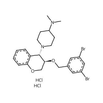 CN(C)C1CCN([C@H]2c3ccccc3OC[C@@H]2OCc2cc(Br)cc(Br)c2)CC1.Cl.Cl